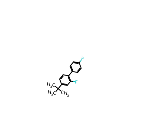 CC(C)(C)c1ccc(-c2ccc(F)cc2)c(F)c1